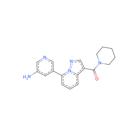 Nc1cncc(-c2cccc3c(C(=O)N4CCCCC4)cnn23)c1